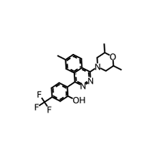 Cc1ccc2c(N3CC(C)OC(C)C3)nnc(-c3ccc(C(F)(F)F)cc3O)c2c1